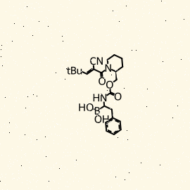 CC(C)(C)/C=C(\C#N)C(=O)N1CCCC[C@H]1COC(=O)NC(Cc1ccccc1)B(O)O